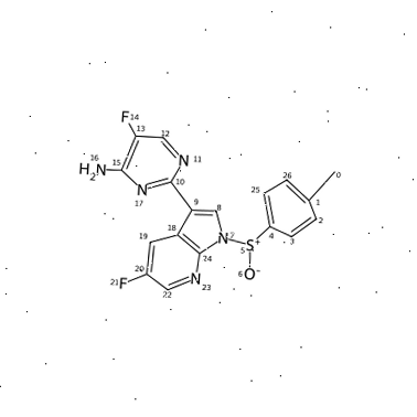 Cc1ccc([S+]([O-])n2cc(-c3ncc(F)c(N)n3)c3cc(F)cnc32)cc1